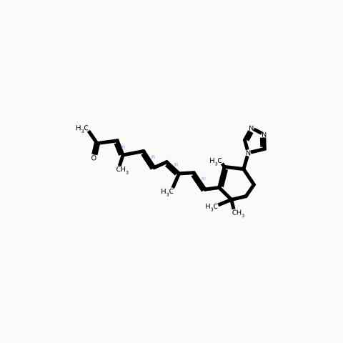 CC(=O)/C=C(C)/C=C/C=C(C)/C=C/C1=C(C)C(n2cnnc2)CCC1(C)C